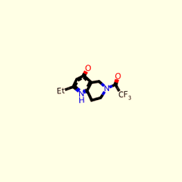 CCc1cc(=O)c2c([nH]1)CCN(C(=O)C(F)(F)F)C2